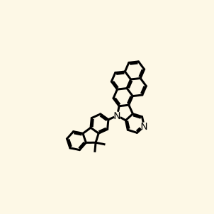 CC1(C)c2ccccc2-c2ccc(-n3c4ccncc4c4c5ccc6cccc7ccc(cc43)c5c76)cc21